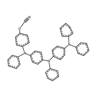 N#COc1ccc(N(c2ccccc2)c2ccc(N(c3ccccc3)c3ccc(N(c4ccccc4)c4ccccc4)cc3)cc2)cc1